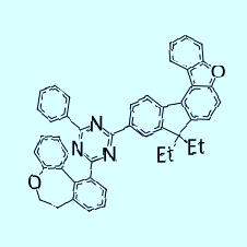 CCC1(CC)c2cc(-c3nc(-c4ccccc4)nc(-c4cccc5c4-c4ccccc4OCC5)n3)ccc2-c2c1ccc1oc3ccccc3c21